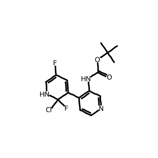 CC(C)(C)OC(=O)Nc1cnccc1C1=CC(F)=CNC1(F)Cl